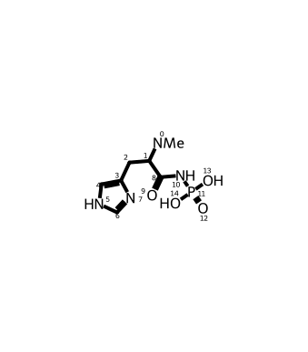 CNC(Cc1c[nH]cn1)C(=O)NP(=O)(O)O